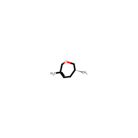 CC1=CC[C@@H](C)COC1